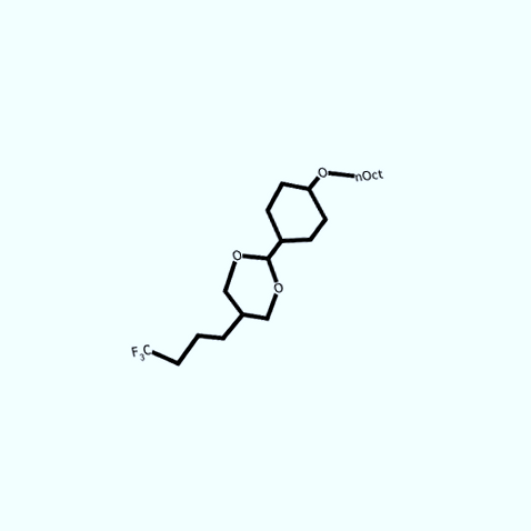 CCCCCCCCOC1CCC(C2OCC(CCCC(F)(F)F)CO2)CC1